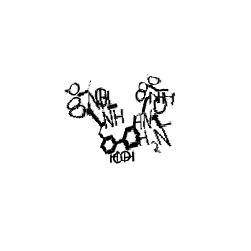 COC(=O)C(C)NC(=O)[C@@H](Cc1ccc(O)c(-c2cc(C[C@H](NC(C)=O)C(=O)N[C@@H](C)C(=O)OC)ccc2O)c1)NC(=O)[C@@H](C)N